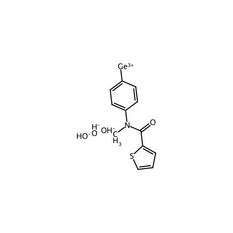 CN(C(=O)c1cccs1)c1cc[c]([Ge+3])cc1.[OH-].[OH-].[OH-]